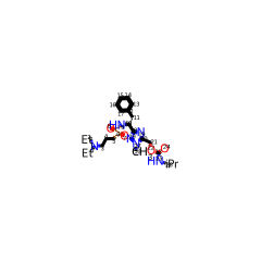 CCN(CC)CCCS(=O)(=O)N[C@H](Cc1ccccc1)c1nc(COC(=O)NC(C)C)n(C)n1